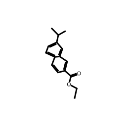 CCOC(=O)c1ccc2ccc(C(C)C)cc2c1